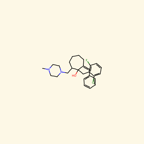 CN1CCN(CC2CCCCC(=Cc3ccccc3)C2(O)Cc2c(F)cccc2Cl)CC1